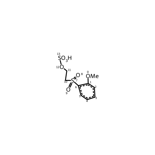 COc1ccccc1S(=O)(=O)CCOS(=O)(=O)O